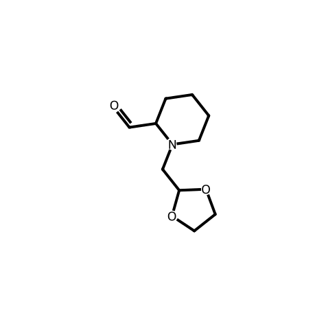 O=CC1CCCCN1CC1OCCO1